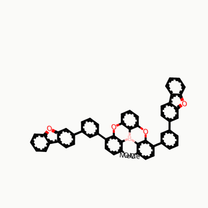 COc1ccc(-c2cccc(-c3ccc4c(c3)oc3ccccc34)c2)c2c1B1c3c(cccc3Oc3c(-c4cccc(-c5ccc6c(c5)oc5ccccc56)c4)ccc(OC)c31)O2